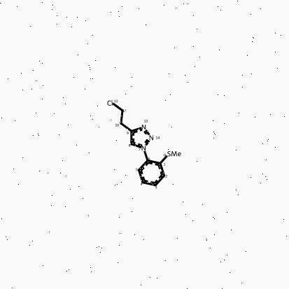 CSc1ccccc1-n1cc(CCCl)nn1